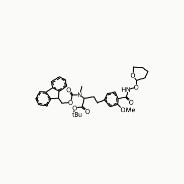 COc1cc(CCC(C(=O)OC(C)(C)C)N(C)C(=O)OCC2c3ccccc3-c3ccccc32)ccc1C(=O)NOC1CCCCO1